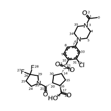 CC(=O)N1CCN(c2ccc(S(=O)(=O)[C@@H]3C[C@@H](C(=O)O)[C@H](C(=O)N4CCC(F)(F)C4)C3)c(Cl)c2)CC1